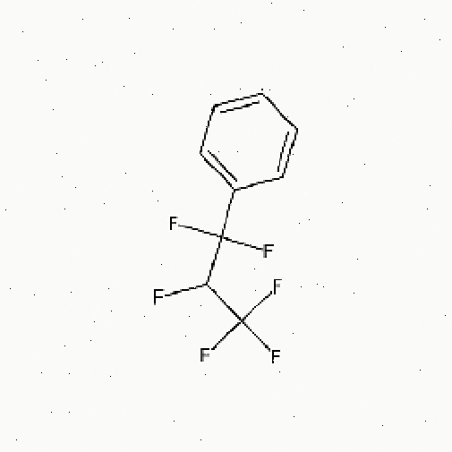 FC(C(F)(F)F)C(F)(F)c1cc[c]cc1